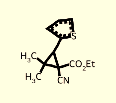 CCOC(=O)C1(C#N)C(c2cccs2)C1(C)C